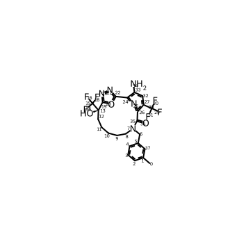 Cc1cccc(CN2CCCCC[C@](O)(C(F)(F)F)c3nnc(o3)-c3nc(c(C(F)(F)F)cc3N)C2=O)c1